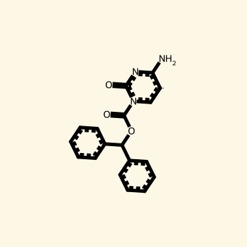 Nc1[c]cn(C(=O)OC(c2ccccc2)c2ccccc2)c(=O)n1